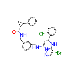 O=C(NCc1cccc(CNC2=CC(c3ccccc3Cl)Nc3c(Br)cnn32)c1)[C@@H]1C[C@H]1c1ccccc1